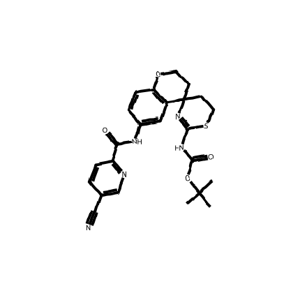 CC(C)(C)OC(=O)NC1=NC2(CCOc3ccc(NC(=O)c4ccc(C#N)cn4)cc32)CCS1